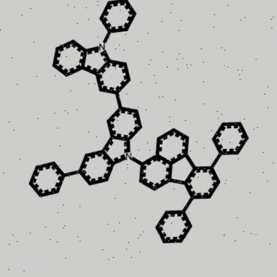 c1ccc(-c2ccc3c(c2)c2cc(-c4ccc5c(c4)c4ccccc4n5-c4ccccc4)ccc2n3-c2ccc3c4c(cccc24)-c2c(-c4ccccc4)ccc(-c4ccccc4)c2-3)cc1